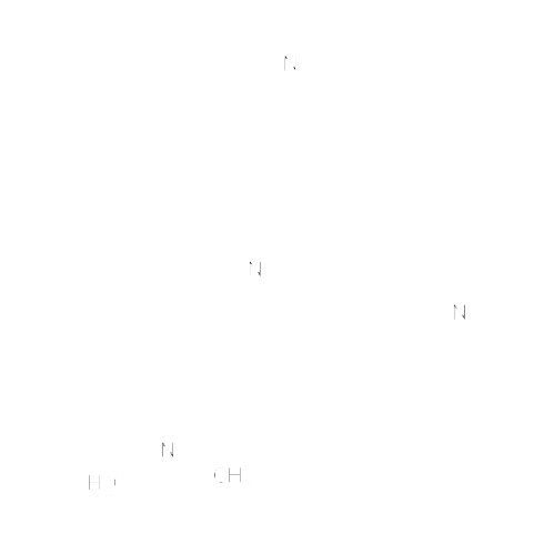 CN(C)CCCN(CCC#N)CCC#N